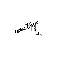 C[C@H]1CN(CC(=O)NCc2ccc(C(=O)Nc3ccc(Cl)cc3N3CCN(CCC(F)(F)F)CC3)c(F)c2F)CCN1